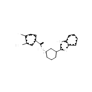 O=C(N[C@@H]1CCCC(c2nc3ccccc3[nH]2)C1)c1ccc(O)c(O)c1